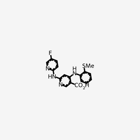 CSc1ccccc1Nc1cc(Nc2ccc(F)cn2)ncc1C(=O)O